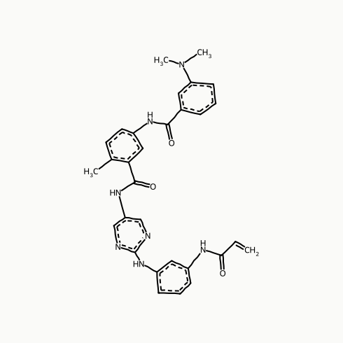 C=CC(=O)Nc1cccc(Nc2ncc(NC(=O)c3cc(NC(=O)c4cccc(N(C)C)c4)ccc3C)cn2)c1